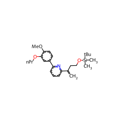 C=C(CCO[Si](C)(C)C(C)(C)C)c1cccc(-c2ccc(OC)c(OCCC)c2)n1